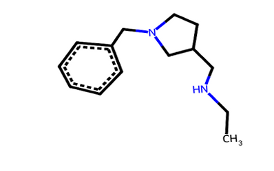 CCNCC1CCN(Cc2ccccc2)C1